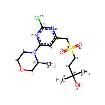 C[C@H]1COCCN1c1cc(CS(=O)(=O)CCC(C)(C)O)nc(Cl)n1